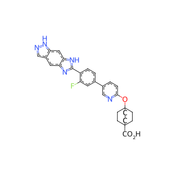 O=C(O)C12CCC(Oc3ccc(-c4ccc(-c5nc6cc7cn[nH]c7cc6[nH]5)c(F)c4)cn3)(CC1)CC2